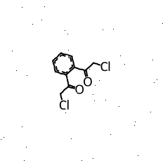 O=C(CCl)c1ccccc1C(=O)CCl